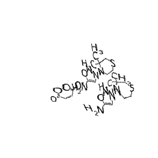 CC1(C)CSCCN1[n+]1cc(N)on1.CC1(C)CSCCN1[n+]1cc(N)on1.O=C([O-])/C=C\C(=O)[O-]